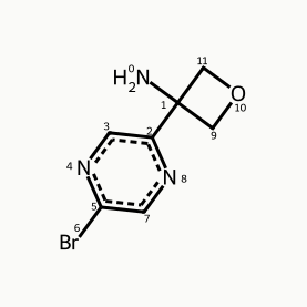 NC1(c2cnc(Br)cn2)COC1